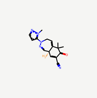 Cn1nccc1N1CC=C2C(C)(C)C(=O)C(C#N)=C[C@@]2(P)C=N1